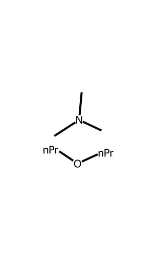 CCCOCCC.CN(C)C